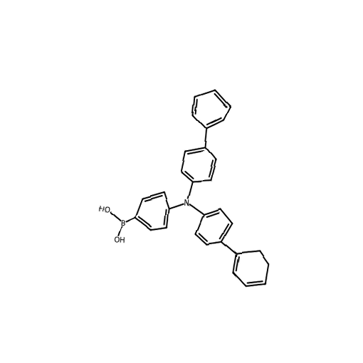 OB(O)c1ccc(N(c2ccc(C3=CC=CCC3)cc2)c2ccc(-c3ccccc3)cc2)cc1